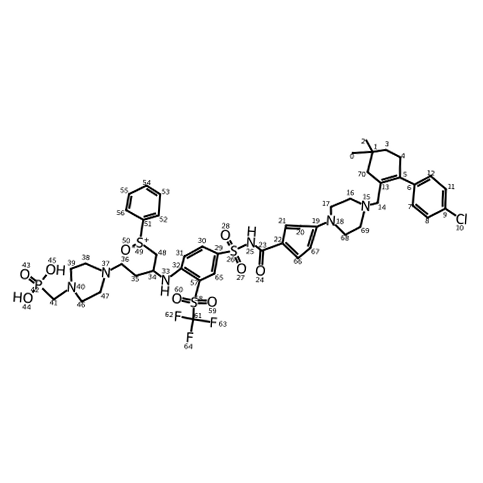 CC1(C)CCC(c2ccc(Cl)cc2)=C(CN2CCN(c3ccc(C(=O)NS(=O)(=O)c4ccc(NC(CCN5CCN(CP(=O)(O)O)CC5)C[S+]([O-])c5ccccc5)c(S(=O)(=O)C(F)(F)F)c4)cc3)CC2)C1